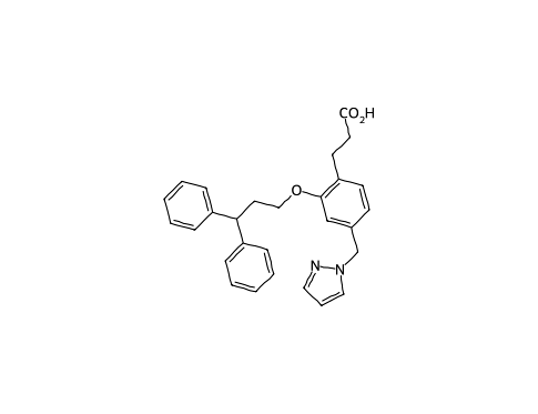 O=C(O)CCc1ccc(Cn2cccn2)cc1OCCC(c1ccccc1)c1ccccc1